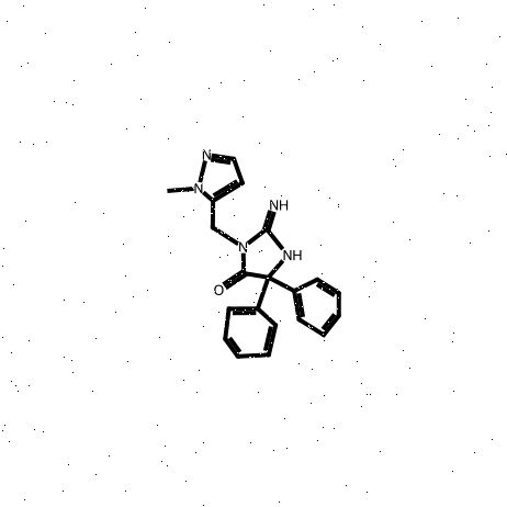 Cn1nccc1CN1C(=N)NC(c2ccccc2)(c2ccccc2)C1=O